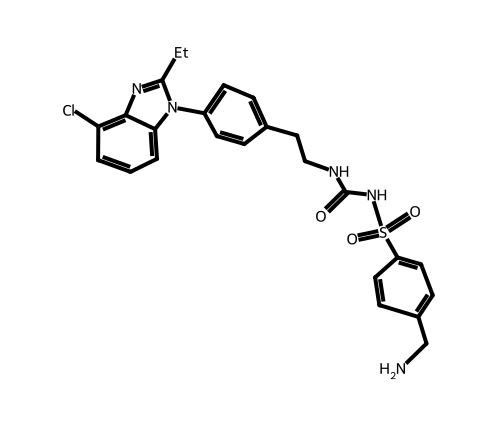 CCc1nc2c(Cl)cccc2n1-c1ccc(CCNC(=O)NS(=O)(=O)c2ccc(CN)cc2)cc1